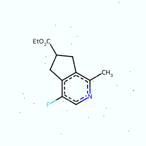 CCOC(=O)C1Cc2c(F)cnc(C)c2C1